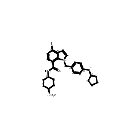 O=C(NC1CCC(C(=O)O)CC1)c1ccc(F)c2ccn(Cc3ccc(OC4CCCC4)cc3)c12